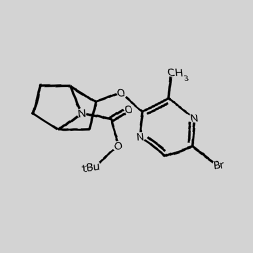 Cc1nc(Br)cnc1OC1CC2CCC1N2C(=O)OC(C)(C)C